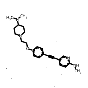 CNc1ccc(C#Cc2ccc(OCCN3CCC(N(C)C)CC3)cc2)cn1